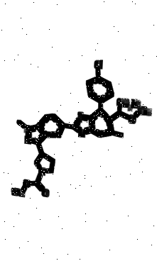 CCOC(=O)[C@@H](OC(C)(C)C)c1c(C)cc2nc(-c3ccc4c(c3)c(C3CCN(C(=O)OC(C)(C)C)C3)nn4C)sc2c1-c1ccc(Cl)cc1